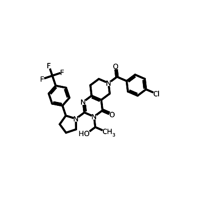 CC(O)n1c(N2CCCC2c2ccc(C(F)(F)F)cc2)nc2c(c1=O)CN(C(=O)c1ccc(Cl)cc1)CC2